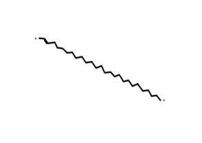 [CH2]C=CCCCCCCCCCCCCCCCCCCCCCCC[CH2]